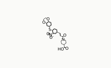 O=C(O)C1CCN(C(=O)C=Cc2ccc(Sc3ccc4c(c3)OCCO4)c([N+](=O)[O-])c2)CC1